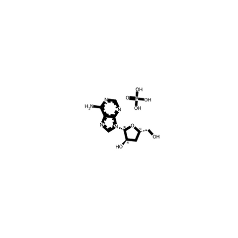 Nc1ncnc2c1ncn2[C@@H]1O[C@H](CO)C[C@H]1O.O=P(O)(O)O